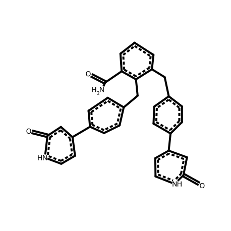 NC(=O)c1cccc(Cc2ccc(-c3cc[nH]c(=O)c3)cc2)c1Cc1ccc(-c2cc[nH]c(=O)c2)cc1